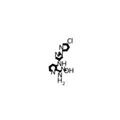 NC(=NO)c1ncccc1Nc1cnn(-c2ccc(Cl)cn2)c1